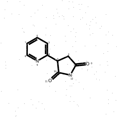 O=C1CC(c2ccccn2)C(=O)[N]1